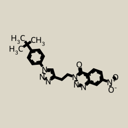 CC(C)(C)c1ccc(-n2cc(CCn3nnc4cc([N+](=O)[O-])ccc4c3=O)nn2)cc1